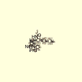 C=CC(=O)Nc1cc(N2CCN(C3CCN(C)CC3)CC2)ccc1Nc1ncc(C#N)c(Nc2ccccc2OC(C)C)n1